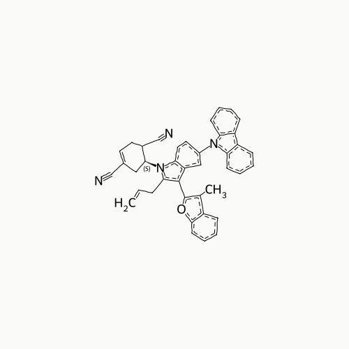 C=CCc1c(-c2oc3ccccc3c2C)c2cc(-n3c4ccccc4c4ccccc43)ccc2n1[C@H]1CC(C#N)=CCC1C#N